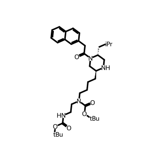 CC(C)C[C@@H]1CN[C@@H](CCCCN(CCNC(=O)OC(C)(C)C)C(=O)OC(C)(C)C)CN1C(=O)Cc1ccc2ccccc2c1